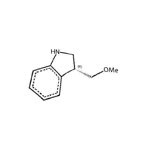 COC[C@H]1CNc2ccccc21